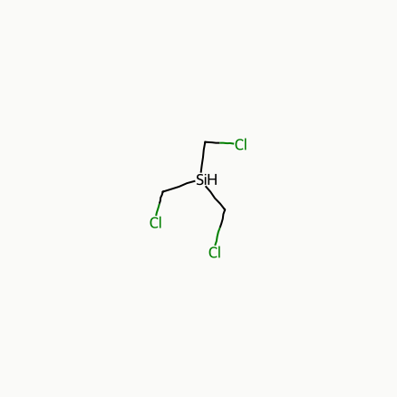 ClC[SiH](CCl)CCl